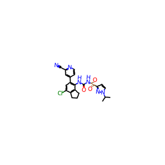 CC(C)n1ccc(S(=O)(=O)NC(=O)Nc2c(-c3ccnc(C#N)c3)cc(Cl)c3c2CCC3)n1